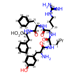 CC(C)C[C@H](NC(=O)[C@@H](N)Cc1ccc(O)cc1)C(=O)N[C@@H](CCCNC(=N)N)C(=O)N[C@@H](Cc1ccccc1)C(=O)N[C@@H](Cc1ccccc1)C(=O)O